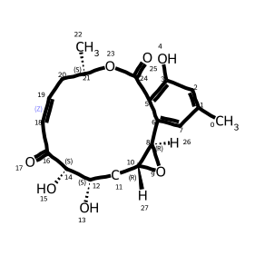 Cc1cc(O)c2c(c1)[C@H]1O[C@@H]1C[C@H](O)[C@H](O)C(=O)/C=C\C[C@H](C)OC2=O